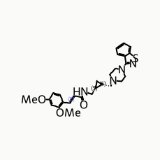 COc1ccc(/C=C/C(=O)NC[C@H]2C[C@@H]2CN2CCN(c3nsc4ccccc34)CC2)c(OC)c1